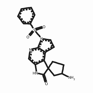 NC1CCC2(C1)C(=O)Nc1cnc3c(ccn3S(=O)(=O)c3ccccc3)c12